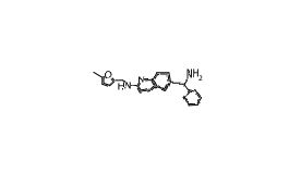 Cc1ccc(CNc2ccc3cc(C(N)c4ccccc4)ccc3n2)o1